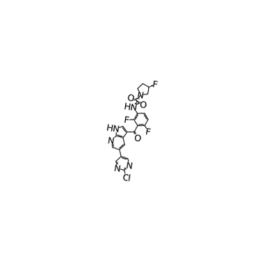 O=C(c1c(F)ccc(NS(=O)(=O)N2CC[C@@H](F)C2)c1F)c1c[nH]c2ncc(-c3cnc(Cl)nc3)cc12